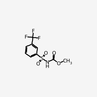 COC(=O)NS(=O)(=O)c1cccc(C(F)(F)F)c1